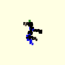 C=Cc1c(N)ncnc1N1CCC(c2nc(-c3ccc(F)c(C(F)(F)F)c3)cn2CCCCC2CCC2)CC1